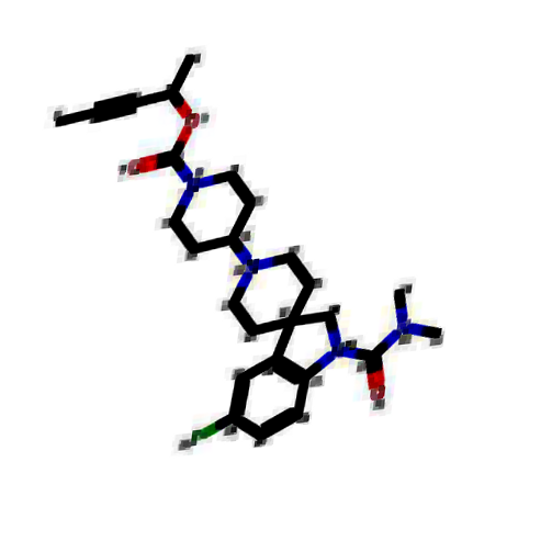 CC#CC(C)OC(=O)N1CCC(N2CCC3(CC2)CN(C(=O)N(C)C)c2ccc(F)cc23)CC1